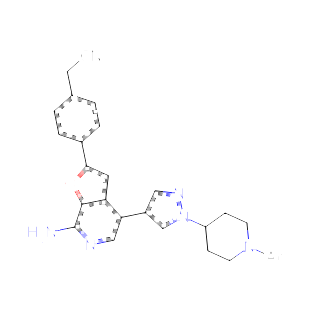 CC(=O)N1CCC(n2cc(-c3cnc(N)c4oc(-c5ccc(CC#N)cc5)cc34)cn2)CC1